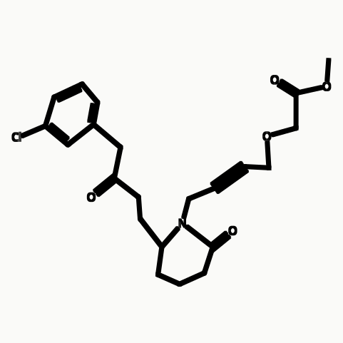 COC(=O)COCC#CCN1C(=O)CCCC1CCC(=O)Cc1cccc(Cl)c1